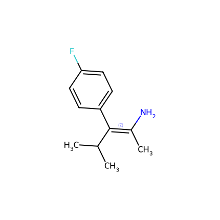 C/C(N)=C(/c1ccc(F)cc1)C(C)C